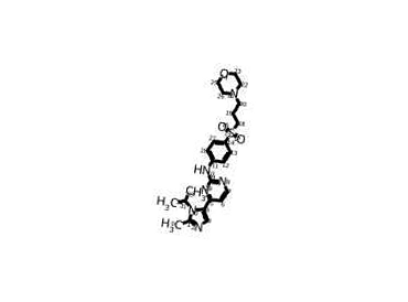 Cc1ncc(-c2ccnc(Nc3ccc(S(=O)(=O)CCCN4CCOCC4)cc3)n2)n1C(C)C